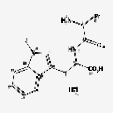 CC(C)C(N)C(=O)NC(Cc1cn(C)c2ccccc12)C(=O)O.Cl